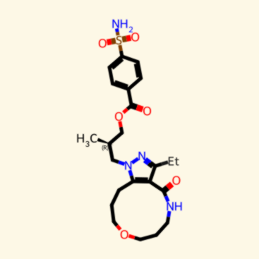 CCc1nn(C[C@@H](C)COC(=O)c2ccc(S(N)(=O)=O)cc2)c2c1C(=O)NCCCOCCC2